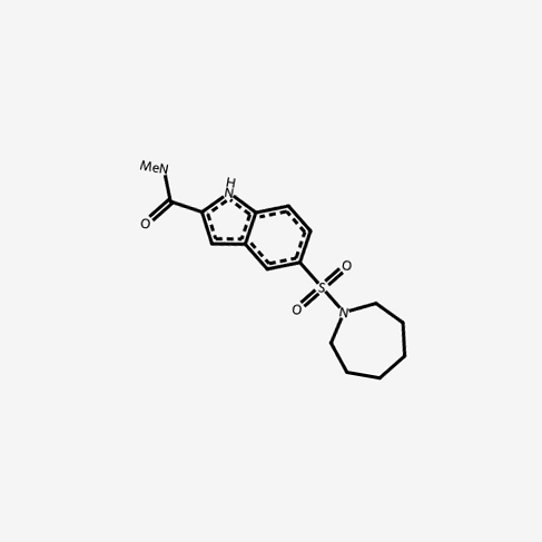 CNC(=O)c1cc2cc(S(=O)(=O)N3CCCCCC3)ccc2[nH]1